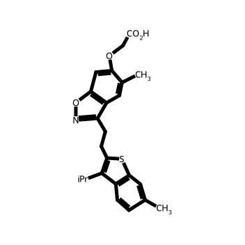 Cc1ccc2c(C(C)C)c(CCc3noc4cc(OCC(=O)O)c(C)cc34)sc2c1